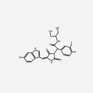 O=C(NC(CO)CO)C(c1ccc(F)c(F)c1)N1C(=O)NC(=Cc2c[nH]c3cc(Cl)ccc23)C1=O